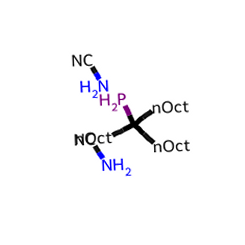 CCCCCCCCC(P)(CCCCCCCC)CCCCCCCC.N#CN.N#CN